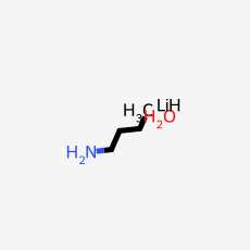 CCCCN.O.[LiH]